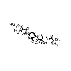 C[C@H](N)C(=O)OC[C@H]1O[C@@H](n2ccc(NC(=O)[C@@H](N)CC(=O)O)nc2=O)C(O)C1O